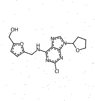 OCc1ccc(CNc2nc(Cl)nc3c2ncn3C2CCCO2)o1